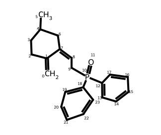 C=C1CCC(C)C/C1=C/CP(=O)(c1ccccc1)c1ccccc1